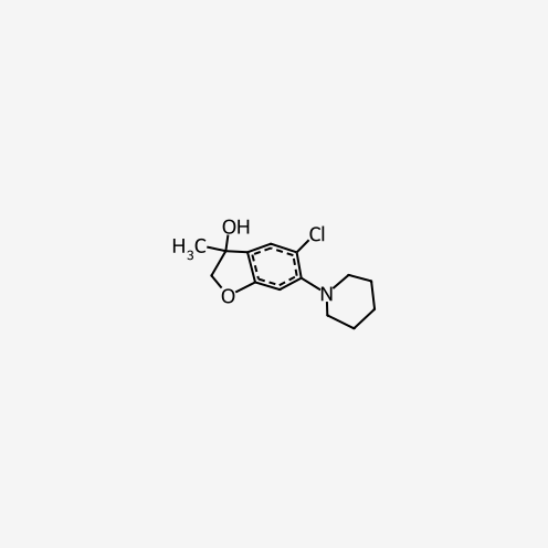 CC1(O)COc2cc(N3CCCCC3)c(Cl)cc21